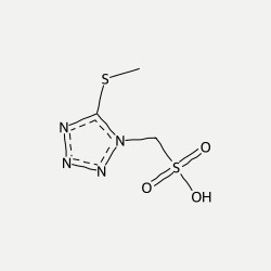 CSc1nnnn1CS(=O)(=O)O